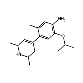 Cc1cc(N)c(OC(C)C)cc1C1=CC(C)NC(C)C1